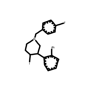 CC(C)c1ccccc1C1CN(Cc2ccc(F)cc2)CCC1I